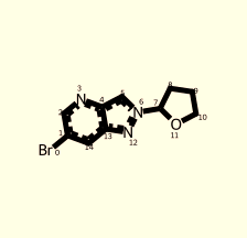 Brc1cnc2cn(C3CCCO3)nc2c1